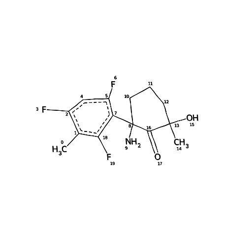 Cc1c(F)cc(F)c(C2(N)CCCC(C)(O)C2=O)c1F